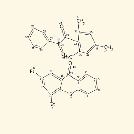 CCc1cc(CC)c2sc3ccccc3c(=O)c2c1.Cc1cc(C)c(C(=O)[PH](=O)c2ccccc2)c(C)c1